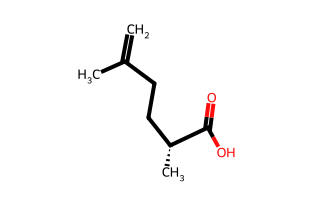 C=C(C)CC[C@@H](C)C(=O)O